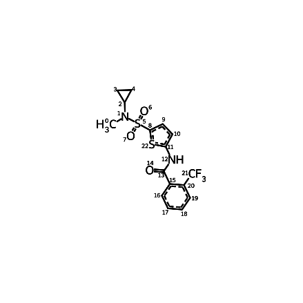 CN(C1CC1)S(=O)(=O)c1ccc(NC(=O)c2ccccc2C(F)(F)F)s1